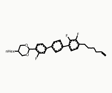 C=CCCCCc1ccc(-c2ccc(-c3ccc(C4OCC(CCCCCC)CO4)c(F)c3)cc2)c(F)c1F